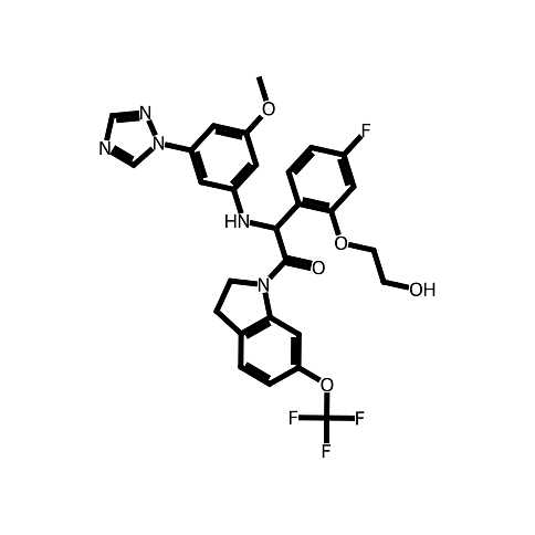 COc1cc(NC(C(=O)N2CCc3ccc(OC(F)(F)F)cc32)c2ccc(F)cc2OCCO)cc(-n2cncn2)c1